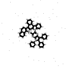 Clc1nc2c(nc1-n1c3ccccc3c3c4ccccc4c4c5ccc6ccccc6c5sc4c31)c(-c1ccccc1)c(-c1ccccc1)n2C1=CC=CCC1